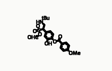 COc1ccc(C(=O)Oc2ccc(C(CNC(C)(C)C)S(=O)(=O)OC=O)cc2O)cc1